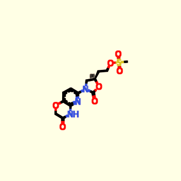 CS(=O)(=O)OCC[C@@H]1CN(c2ccc3c(n2)NC(=O)CO3)C(=O)O1